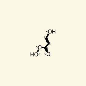 O=C(C=CO)OO